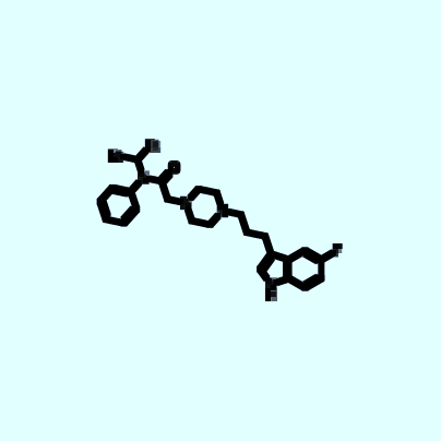 CCC(CC)N(C(=O)CN1CCN(CCCc2c[nH]c3ccc(F)cc23)CC1)c1ccccc1